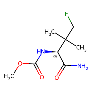 COC(=O)N[C@H](C(N)=O)C(C)(C)CF